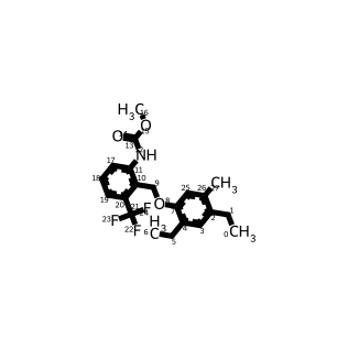 CCc1cc(CC)c(OCc2c(NC(=O)OC)cccc2C(F)(F)F)cc1C